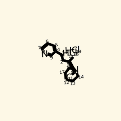 CC(CCc1cccnc1)=C1CC2CCN1CC2.Cl.Cl